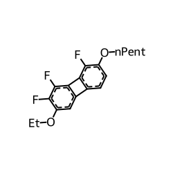 CCCCCOc1ccc2c(c1F)-c1c-2cc(OCC)c(F)c1F